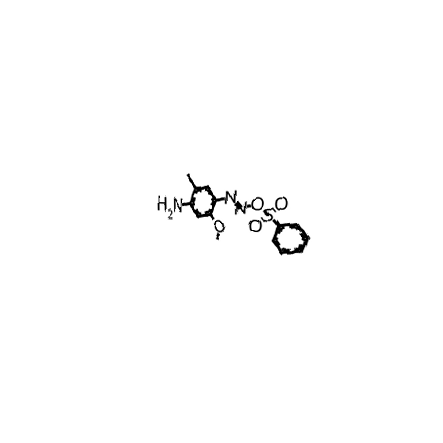 COc1cc(N)c(C)cc1N=NOS(=O)(=O)c1ccccc1